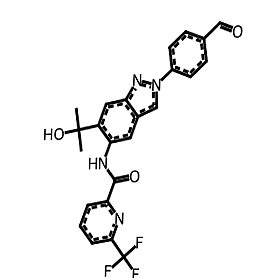 CC(C)(O)c1cc2nn(-c3ccc(C=O)cc3)cc2cc1NC(=O)c1cccc(C(F)(F)F)n1